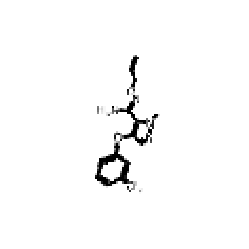 C=CCO/N=C(\N)c1c(Oc2cccc(C(F)(F)F)c2)cnn1C